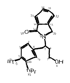 CCCc1ccc(C(CCO)N2Cc3ccccc3C2=O)cc1CCC